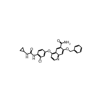 NC(=O)c1cc2c(Oc3ccc(NC(=O)NC4CC4)c(Cl)c3)ccnc2cc1OCc1ccccc1